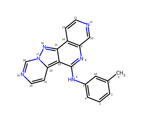 Cc1cccc(Nc2nc3cnccc3c3nn4cnccc4c23)c1